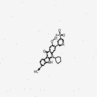 C#Cc1ccc2c(c1)[nH]c1c2c(=O)c2cc(OCC)c(-c3cncc(S(=O)(=O)F)c3)cc2n1C1CCCCC1